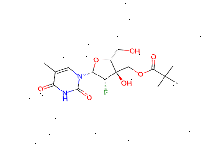 Cc1cn([C@@H]2O[C@H](CO)[C@](O)(COC(=O)C(C)(C)C)[C@@H]2F)c(=O)[nH]c1=O